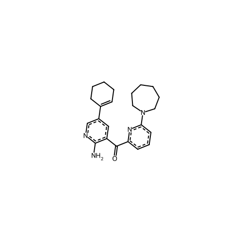 Nc1ncc(C2=CCCCC2)cc1C(=O)c1cccc(N2CCCCCC2)n1